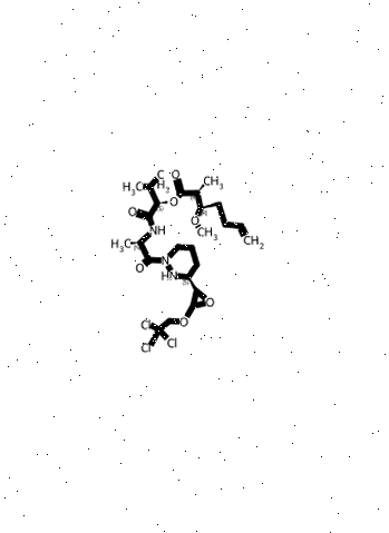 C=CCC[C@@H](OC)[C@@H](C)C(=O)O[C@H](C(=O)N[C@@H](C)C(=O)N1CCC[C@@H](C2OC2OCC(Cl)(Cl)Cl)N1)C(C)C